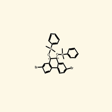 C[Si](C)(O[C@@H]1c2cc(Br)ccc2-c2ccc(Br)cc2[C@H]1O[Si](C)(C)c1ccccc1)c1ccccc1